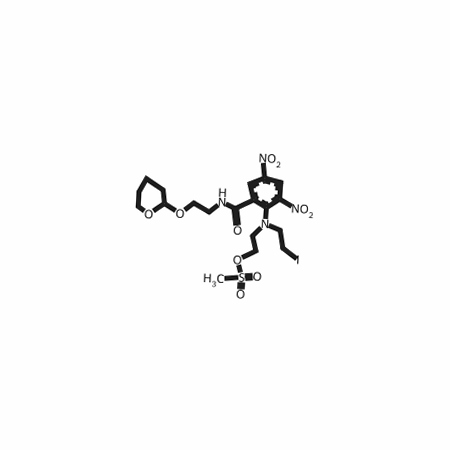 CS(=O)(=O)OCCN(CCI)c1c(C(=O)NCCOC2CCCCO2)cc([N+](=O)[O-])cc1[N+](=O)[O-]